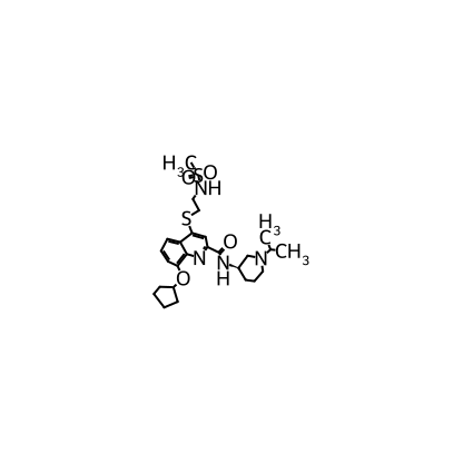 CC(C)N1CCC[C@@H](NC(=O)c2cc(SCCNS(C)(=O)=O)c3cccc(OC4CCCC4)c3n2)C1